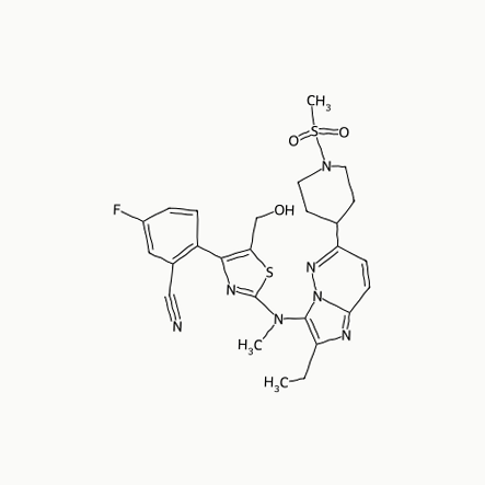 CCc1nc2ccc(C3CCN(S(C)(=O)=O)CC3)nn2c1N(C)c1nc(-c2ccc(F)cc2C#N)c(CO)s1